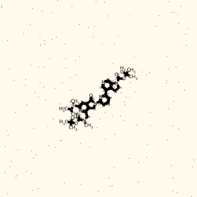 CC(C)N(C)c1cc2c(c(CN(C)C(=O)OC(C)(C)C)n1)CN(c1cccc(-c3cncc4c3CCN4C(=O)OC(C)(C)C)n1)C2=O